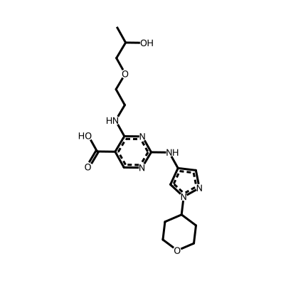 CC(O)COCCNc1nc(Nc2cnn(C3CCOCC3)c2)ncc1C(=O)O